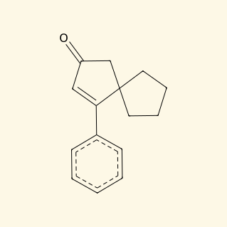 O=C1C=C(c2ccccc2)C2(CCCC2)C1